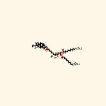 CCCCCCCCC=CCCCCCCCC(=O)OCC(COC(=O)CCCCCCC/C=C\CCCCCCCC)OC(=O)CC(C)CCCCCCC(=O)O[C@H]1CC[C@@]2(C)[C@@H](CC[C@@H]3[C@@H]2CC[C@]2(C)[C@@H](C(C)=O)CC[C@@H]32)C1